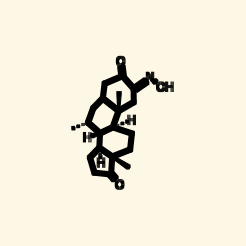 C[C@@H]1CC2CC(=O)C(=NO)C[C@]2(C)[C@H]2CC[C@]3(C)C(=O)CC[C@H]3[C@H]12